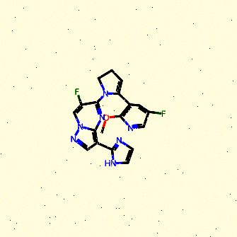 COc1ncc(F)cc1C1=CCCN1c1nc2c(-c3ncc[nH]3)cnn2cc1F